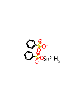 O=S(=O)([O-])c1ccccc1.O=S(=O)([O-])c1ccccc1.[SnH2+2]